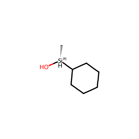 C[Si@@H](O)C1CCCCC1